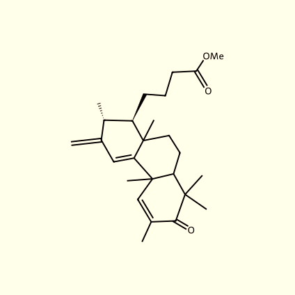 C=C1C=C2C3(C)C=C(C)C(=O)C(C)(C)C3CCC2(C)[C@H](CCCC(=O)OC)[C@H]1C